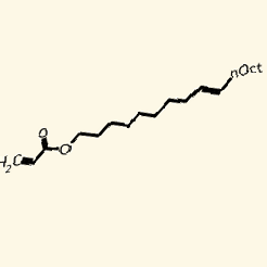 C=CC(=O)OCCCCCCCC/C=C/CCCCCCCC